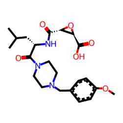 COc1ccc(CN2CCN(C(=O)[C@H](CC(C)C)NC(=O)[C@@H]3O[C@H]3C(=O)O)CC2)cc1